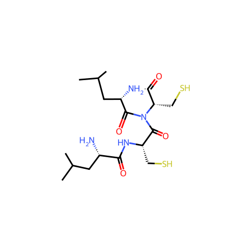 CC(C)C[C@H](N)C(=O)N[C@@H](CS)C(=O)N(C(=O)[C@@H](N)CC(C)C)[C@H]([C]=O)CS